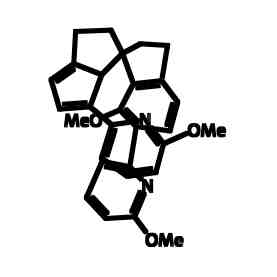 COc1cccc(C2=CC=C3CCC4(CCc5ccc(-c6cccc(OC)n6)c(OC)c54)C32)n1